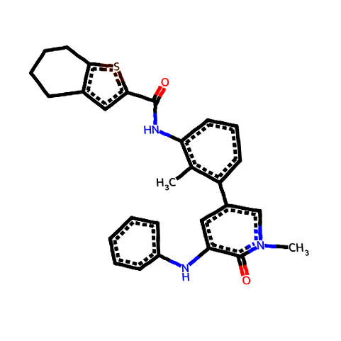 Cc1c(NC(=O)c2cc3c(s2)CCCC3)cccc1-c1cc(Nc2ccccc2)c(=O)n(C)c1